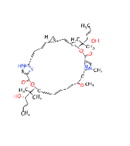 C/C=C/[C@H](O)C(C)(C)[C@@H]1C\C=C/C=C\C=C\[C@H](OC)Cc2nc(cn2C)C(=O)O[C@H](C(C)(C)[C@@H](O)/C=C/C)C/C=C\C2=C[C@@H]2/C=C/C=C\c2nc(c[nH]2)C(=O)O1